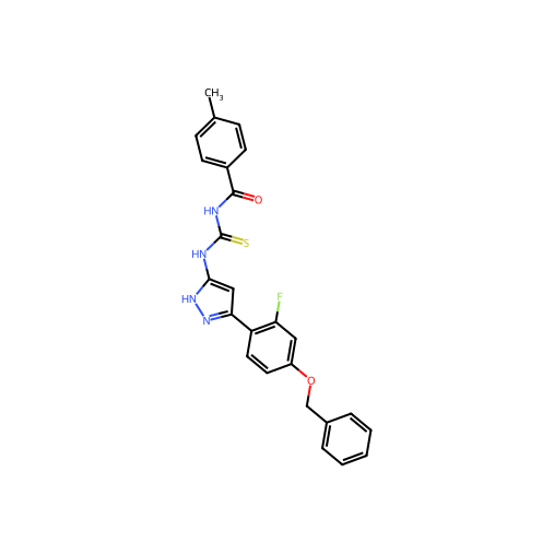 Cc1ccc(C(=O)NC(=S)Nc2cc(-c3ccc(OCc4ccccc4)cc3F)n[nH]2)cc1